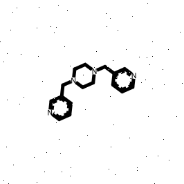 c1cncc(CN2CCN(Cc3cccnc3)CC2)c1